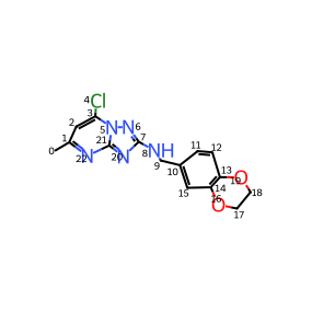 Cc1cc(Cl)n2nc(NCc3ccc4c(c3)OCCO4)nc2n1